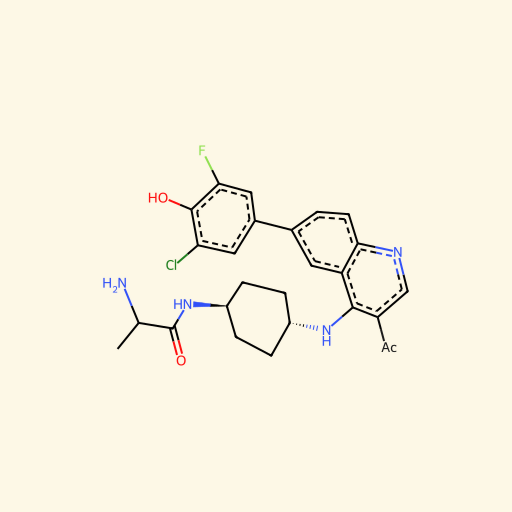 CC(=O)c1cnc2ccc(-c3cc(F)c(O)c(Cl)c3)cc2c1N[C@H]1CC[C@H](NC(=O)C(C)N)CC1